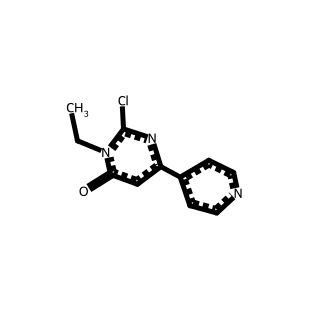 CCn1c(Cl)nc(-c2ccncc2)cc1=O